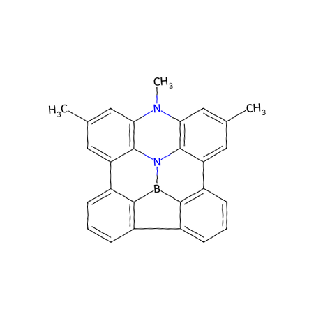 Cc1cc2c3c(c1)N(C)c1cc(C)cc4c1N3B1c3c(cccc3-2)-c2cccc-4c21